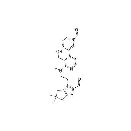 C/C=C\C(=C/NC=O)c1ccnc(N(C)CCn2c(C=O)cc3c2CC(C)(C)C3)c1CO